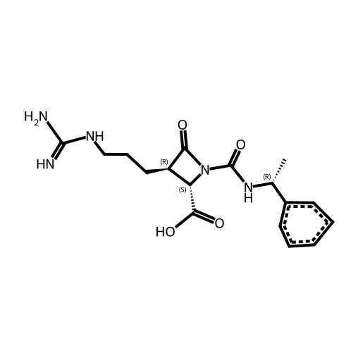 C[C@@H](NC(=O)N1C(=O)[C@H](CCCNC(=N)N)[C@H]1C(=O)O)c1ccccc1